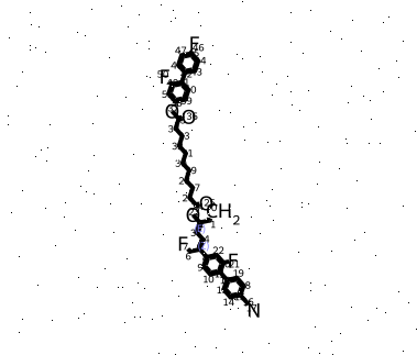 C=C/C(=C\C=C(/CF)c1ccc(-c2ccc(C#N)cc2)c(F)c1)OC(=O)CCCCCCCCCC(=O)Oc1ccc(-c2ccc(F)cc2)c(F)c1